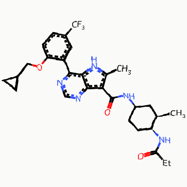 CCC(=O)N[C@H]1CC[C@@H](NC(=O)c2c(C)[nH]c3c(-c4cc(C(F)(F)F)ccc4OCC4CC4)ncnc23)C[C@H]1C